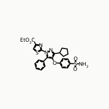 CCOC(=O)c1csc(-n2nc(C3CCCC3)c(Oc3ccc(S(N)(=O)=O)cc3)c2-c2ccccc2)n1